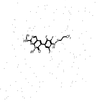 CC(C)Nc1ncc2cc(-c3cc(F)c(NSCCC(F)(F)F)c(F)c3F)c(=O)n(C(C)C)c2n1